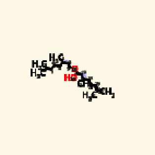 CC(C)=CCC/C(C)=C\COC(O)/C=C(\C)CCC=C(C)C